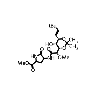 COC(=O)C1CC(NC(=O)[C@H](OC)[C@@H]2OC(C)(C)O[C@H](C=CC(C)(C)C)[C@@H]2O)C(=O)N1